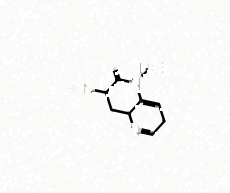 CN1C(=O)C(N)CC2N=CCC=C21.Cl